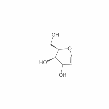 OC[C@H]1OC=CC(O)[C@H]1O